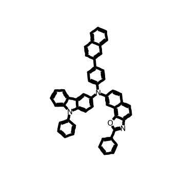 c1ccc(-c2nc3ccc4ccc(N(c5ccc(-c6ccc7ccccc7c6)cc5)c5ccc6c(c5)c5ccccc5n6-c5ccccc5)cc4c3o2)cc1